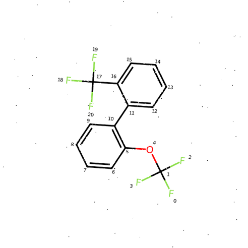 FC(F)(F)Oc1[c]cccc1-c1ccccc1C(F)(F)F